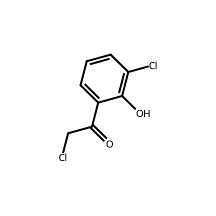 O=C(CCl)c1cccc(Cl)c1O